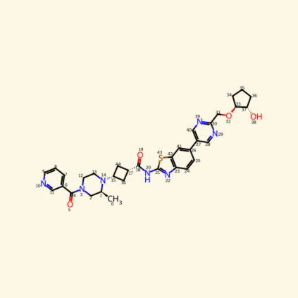 C[C@H]1CN(C(=O)c2cccnc2)CCN1[C@H]1C[C@@H](C(=O)Nc2nc3ccc(-c4cnc(CO[C@H]5CCC[C@@H]5O)nc4)cc3s2)C1